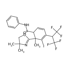 CC1(C)COC(C2(C)C(I)=C(C(C(F)(F)F)C(F)(F)F)C=CC2C(=O)Nc2ccccc2)=N1